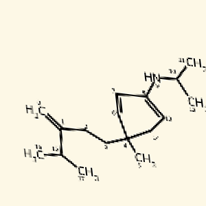 C=C(CCC1(C)C=CC(NC(C)C)=CC1)C(C)C